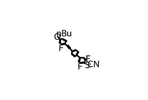 CCCCOc1ccc(C#Cc2ccc(-c3cc(F)c(SC#N)c(F)c3)cc2)c(F)c1